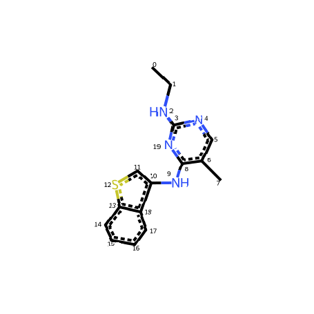 CCNc1ncc(C)c(Nc2csc3ccccc23)n1